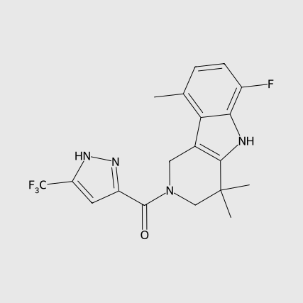 Cc1ccc(F)c2[nH]c3c(c12)CN(C(=O)c1cc(C(F)(F)F)[nH]n1)CC3(C)C